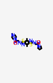 Cc1c2nc(NCC(=O)N3CCN(C)CC3)sc2c(C)c2nc(NCC(=O)N3CCCC3)sc12